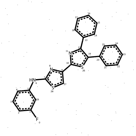 Fc1cccc(Nc2nc(-c3nc(-c4ccccc4)c(-c4ccccc4)s3)cs2)c1